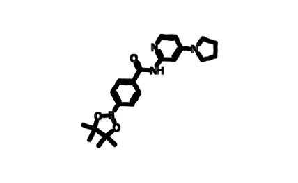 CC1(C)OB(c2ccc(C(=O)Nc3cc(N4CCCC4)ccn3)cc2)OC1(C)C